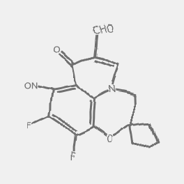 O=Cc1cn2c3c(c(F)c(F)c(N=O)c3c1=O)OC1(CCC1)C2